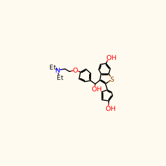 CCN(CC)CCOc1ccc(C(O)c2c(-c3ccc(O)cc3)sc3cc(O)ccc23)cc1